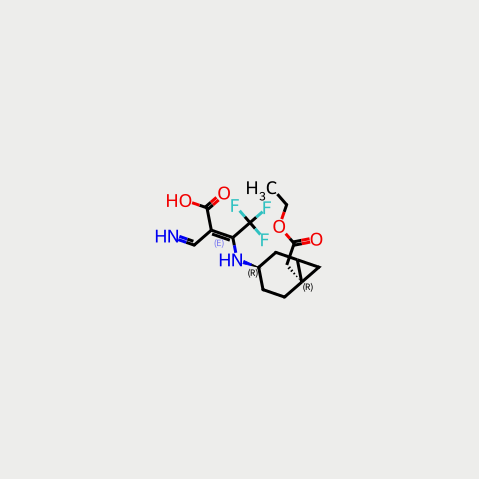 CCOC(=O)C[C@]12CC[C@@H](N/C(=C(\C=N)C(=O)O)C(F)(F)F)CC1C2